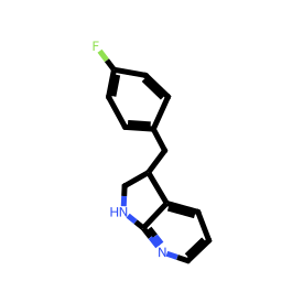 Fc1ccc(CC2CNc3ncccc32)cc1